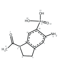 CC(=O)N1CCc2cc(N)c([As](=O)(O)O)cc21